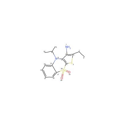 CCc1sc2c(c1N)N(C(C)C)c1ccccc1S2(=O)=O